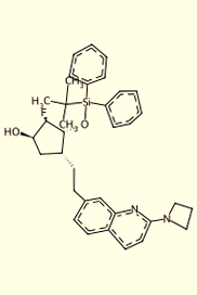 CC(C)(C)[Si](O[C@@H]1[C@H](CCc2ccc3ccc(N4CCC4)nc3c2)C[C@@H](O)[C@H]1F)(c1ccccc1)c1ccccc1